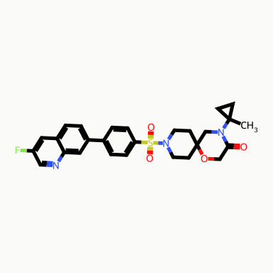 CC1(N2CC3(CCN(S(=O)(=O)c4ccc(-c5ccc6cc(F)cnc6c5)cc4)CC3)OCC2=O)CC1